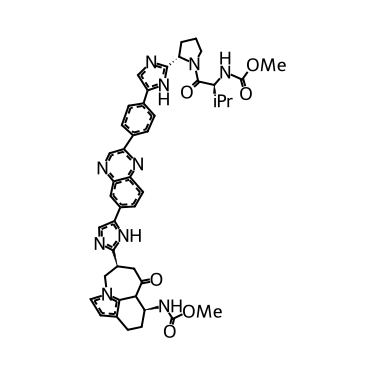 COC(=O)N[C@H]1CCc2ccn3c2C1C(=O)C[C@H](c1ncc(-c2ccc4nc(-c5ccc(-c6cnc([C@@H]7CCCN7C(=O)[C@@H](NC(=O)OC)C(C)C)[nH]6)cc5)cnc4c2)[nH]1)C3